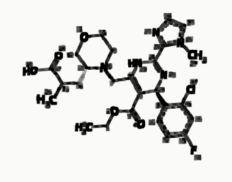 CCOC(=O)C1=C(CN2CCOC[C@H]2CC(C)C(=O)O)NC(c2nccn2C)=N[C@H]1c1ccc(F)cc1Cl